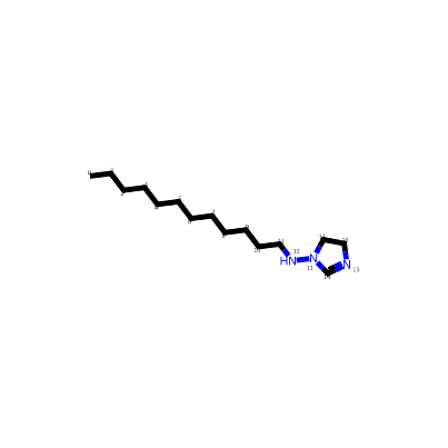 CCCCCCCCCCCCNN1C=NCC1